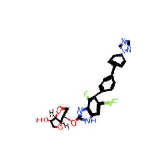 O[C@@H]1CO[C@H]2[C@@H]1OC[C@H]2Oc1nc2c(F)c(-c3ccc(-c4ccc(-n5cncn5)cc4)cc3)c(F)cc2[nH]1